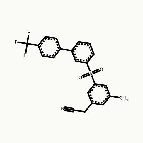 Cc1cc(CC#N)cc(S(=O)(=O)c2cccc(-c3ccc(C(F)(F)F)cc3)c2)c1